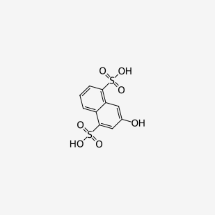 O=S(=O)(O)c1cc(O)cc2c(S(=O)(=O)O)cccc12